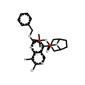 CC(C)(C)OC(=O)N1C2CCC1CN(c1nc(OCc3ccccc3)nc3c(F)c(Cl)ncc13)C2